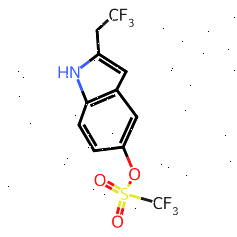 O=S(=O)(Oc1ccc2[nH]c(CC(F)(F)F)cc2c1)C(F)(F)F